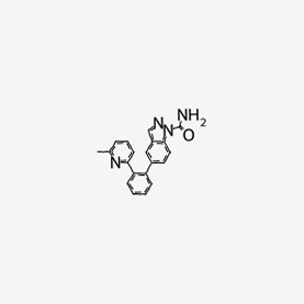 Cc1cccc(-c2ccccc2-c2ccc3c(cnn3C(N)=O)c2)n1